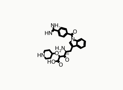 N=C(N)c1ccc(C(=O)n2cc(C[C@H](N)C(=O)C(OC3CCNCC3)C(=O)O)c3ccccc32)cc1